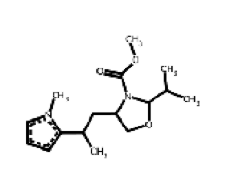 COC(=O)N1C(CC(C)c2cccn2C)COC1C(C)C